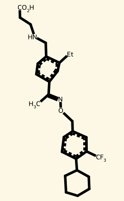 CCc1cc(C(C)=NOCc2ccc(C3CCCCC3)c(C(F)(F)F)c2)ccc1CNCCC(=O)O